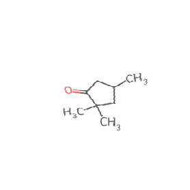 CC1CC(=O)C(C)(C)C1